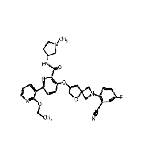 CCOc1ncccc1-c1ccc(OC2COC3(C2)CN(c2ccc(F)cc2C#N)C3)c(C(=O)N[C@@H]2CCN(C)C2)n1